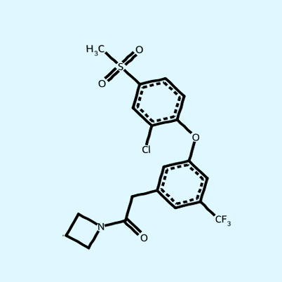 CS(=O)(=O)c1ccc(Oc2cc(CC(=O)N3C[CH]C3)cc(C(F)(F)F)c2)c(Cl)c1